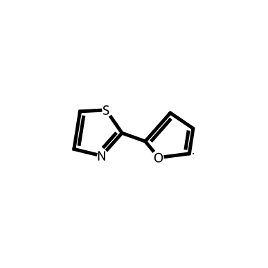 [c]1ccc(-c2nccs2)o1